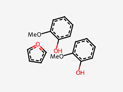 COc1ccccc1O.COc1ccccc1O.c1ccoc1